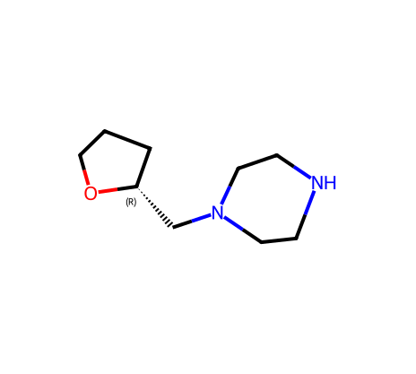 C1CO[C@@H](CN2CCNCC2)C1